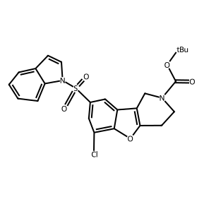 CC(C)(C)OC(=O)N1CCc2oc3c(Cl)cc(S(=O)(=O)n4ccc5ccccc54)cc3c2C1